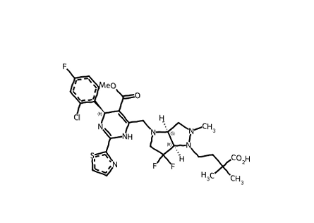 COC(=O)C1=C(CN2CC(F)(F)[C@H]3[C@@H]2CN(C)N3CCC(C)(C)C(=O)O)NC(c2nccs2)=N[C@H]1c1ccc(F)cc1Cl